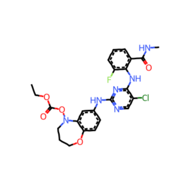 CCOC(=O)ON1CCCOc2ccc(Nc3ncc(Cl)c(Nc4c(F)cccc4C(=O)NC)n3)cc21